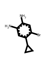 Nc1cc(Br)c(C2CC2)cc1N